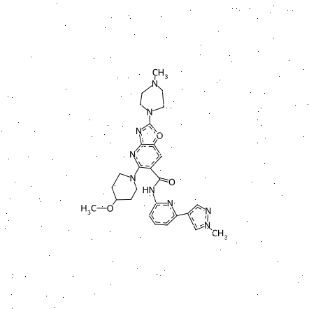 COC1CCN(c2nc3nc(N4CCN(C)CC4)oc3cc2C(=O)Nc2cccc(-c3cnn(C)c3)n2)CC1